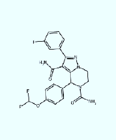 NC(=O)c1c(-c2cccc(F)c2)nn2c1C(c1ccc(OC(F)F)cc1)N(C(N)=O)CC2